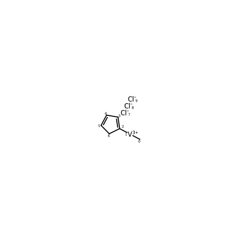 [CH3][V+3][C]1=CC=CC1.[Cl-].[Cl-].[Cl-]